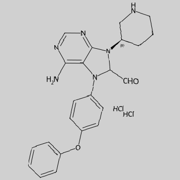 Cl.Cl.Nc1ncnc2c1N(c1ccc(Oc3ccccc3)cc1)C(C=O)N2[C@@H]1CCCNC1